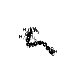 Cc1cc(-c2ncnc3[nH]c(-c4ccc(N5CCN(CC6CCN(c7ccc(-n8ccc(=O)[nH]c8=O)cc7)CC6)CC5)nc4)cc23)ccc1C(C)NC(=O)c1nc(C(C)(C)C)no1